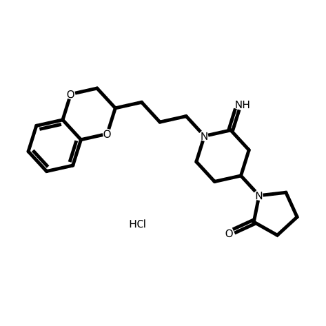 Cl.N=C1CC(N2CCCC2=O)CCN1CCCC1COc2ccccc2O1